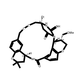 CC[C@]12CCCCc3ccc4c(c3)[C@H](CC(C)(C)O4)NC(=O)c3ccc4c(c3)[C@@H]([C@H](COC)CO4)N(C(=N)N1)C(=O)C2